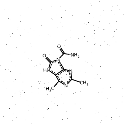 Cc1nc(C)c2[nH]c(=O)n(C(N)=O)c2n1